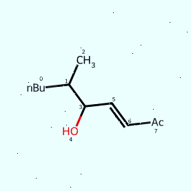 CCCCC(C)C(O)/C=C/C(C)=O